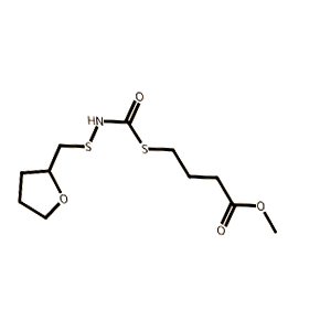 COC(=O)CCCSC(=O)NSCC1CCCO1